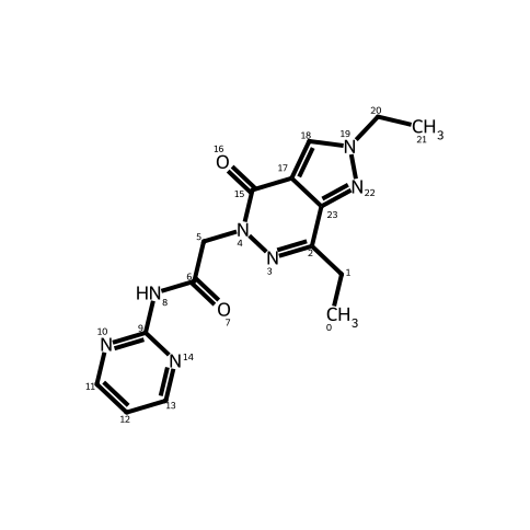 CCc1nn(CC(=O)Nc2ncccn2)c(=O)c2cn(CC)nc12